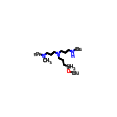 CCCN(C)CCCN(CCCNC(C)CC)CCC[SiH2]OC(C)(C)C